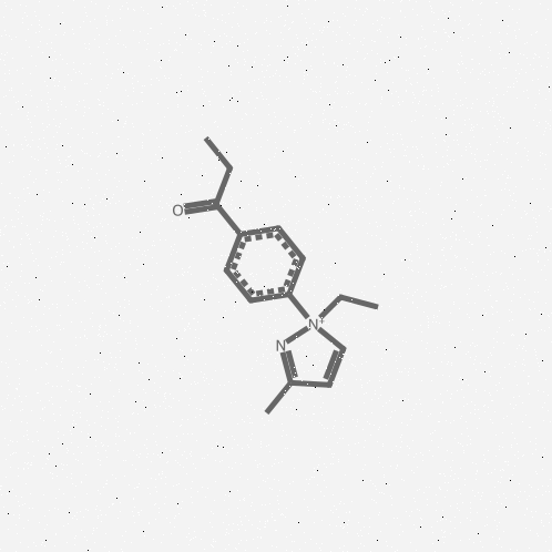 CCC(=O)c1ccc([N+]2(CC)C=CC(C)=N2)cc1